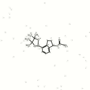 CC1(C)OB(c2cccc3c2CCC3OC(N)=O)OC1(C)C